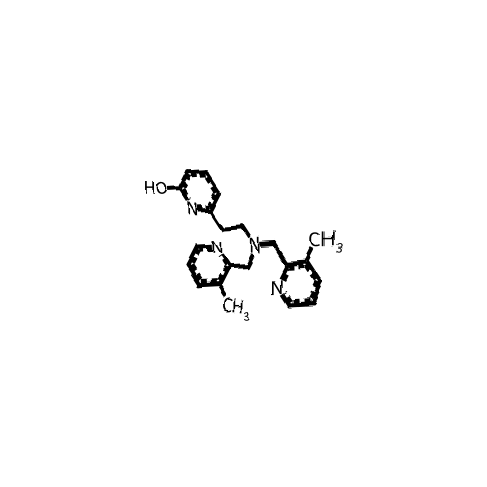 Cc1cccnc1CN(CCc1cccc(O)n1)Cc1ncccc1C